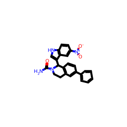 NC(=O)N1CCc2cc(-c3ccccc3)ccc2C1c1c[nH]c2ccc([N+](=O)[O-])cc12